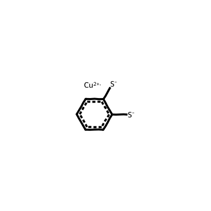 [Cu+2].[S-]c1ccccc1[S-]